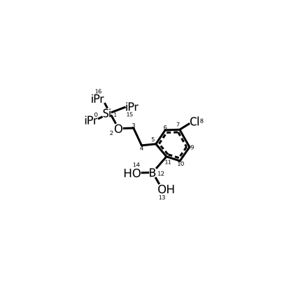 CC(C)[Si](OCCc1cc(Cl)ccc1B(O)O)(C(C)C)C(C)C